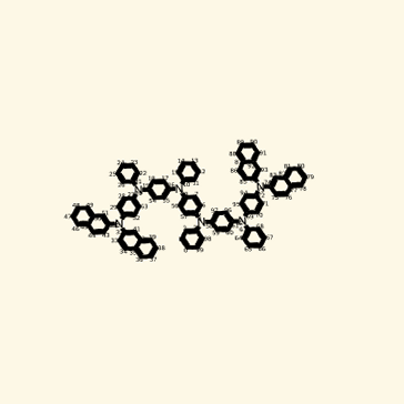 c1ccc(N(c2ccc(N(c3ccccc3)c3ccc(N(c4ccccc4)c4ccc(N(c5ccc6ccccc6c5)c5ccc6ccccc6c5)cc4)cc3)cc2)c2ccc(N(c3ccccc3)c3ccc(N(c4ccc5ccccc5c4)c4ccc5ccccc5c4)cc3)cc2)cc1